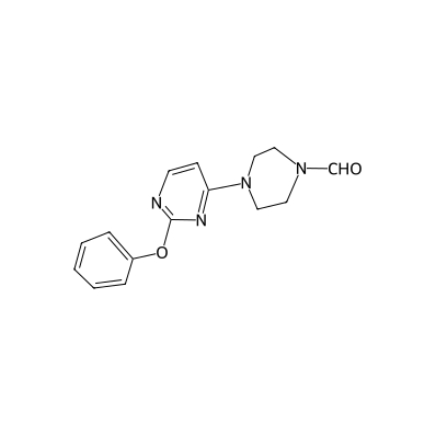 O=CN1CCN(c2ccnc(Oc3ccccc3)n2)CC1